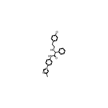 Cc1cn(-c2ccc(NC(=O)C(NCCc3ccc(Cl)cc3)c3ccccc3)cc2)cn1